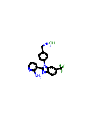 Cl.NCc1ccc(-n2c(-c3cccnc3N)nc3ccc(C(F)(F)F)cc32)cc1